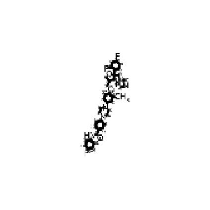 Cc1cc(N2CCN(c3ccc(C(=O)Nc4ccc(F)cc4)cc3)CC2)ccc1OCC1COC(Cn2cncn2)(c2ccc(F)cc2F)C1